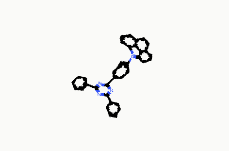 c1ccc(-c2nc(-c3ccccc3)nc(-c3ccc(-n4c5cccc6ccc7cccc4c7c65)cc3)n2)cc1